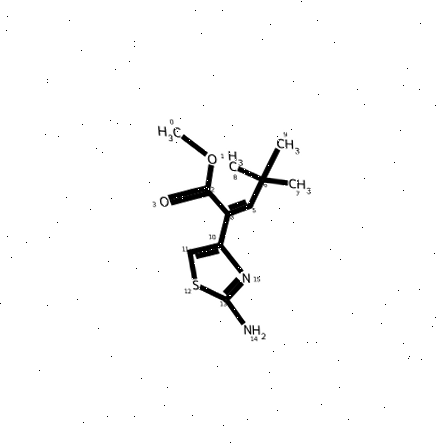 COC(=O)C(=CC(C)(C)C)c1csc(N)n1